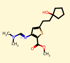 COC(=O)c1sc(CCC2(O)CCCC2)cc1/N=C/N(C)C